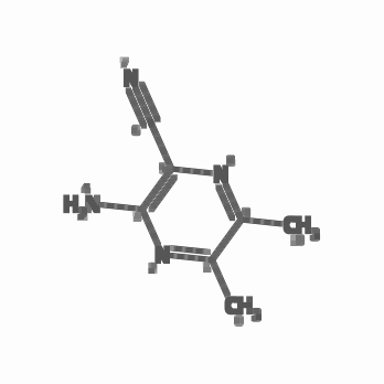 Cc1nc(N)c(C#N)nc1C